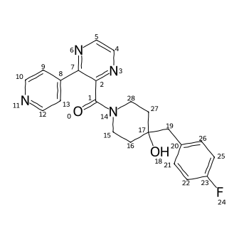 O=C(c1nccnc1-c1ccncc1)N1CCC(O)(Cc2ccc(F)cc2)CC1